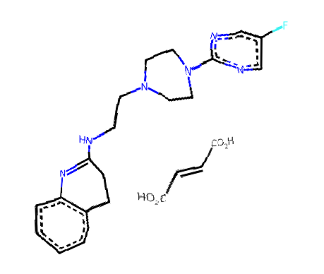 Fc1cnc(N2CCN(CCNC3=Nc4ccccc4CC3)CC2)nc1.O=C(O)C=CC(=O)O